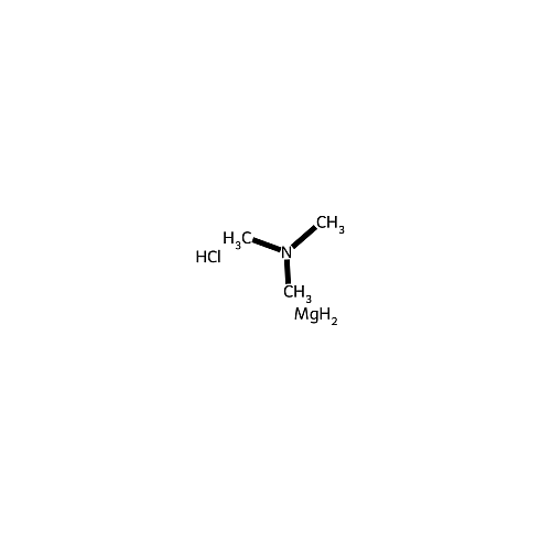 CN(C)C.Cl.[MgH2]